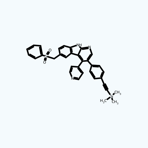 C[Si](C)(C)C#Cc1ccc(-c2cnc3[nH]c4ccc(CS(=O)(=O)c5ccccc5)cc4c3c2-c2ccncc2)cc1